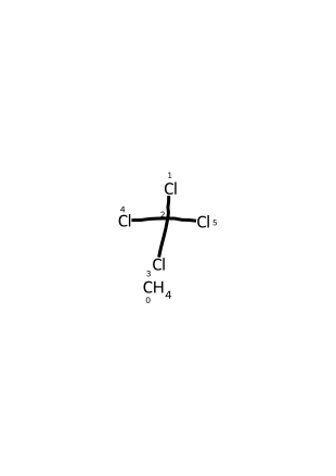 C.ClC(Cl)(Cl)Cl